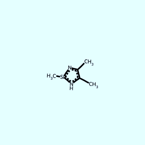 Cc1n[si](C)[nH]c1C